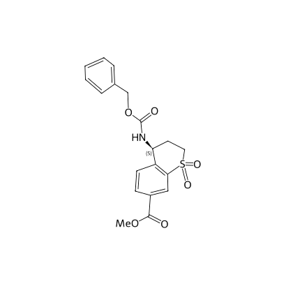 COC(=O)c1ccc2c(c1)S(=O)(=O)CC[C@@H]2NC(=O)OCc1ccccc1